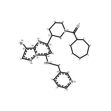 O=C(C1CCCCCC1)N1CCCC(c2cc(NCc3cccnc3)n3ncc(Br)c3n2)C1